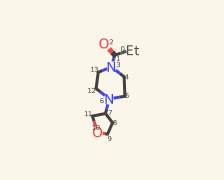 CCC(=O)N1CCN(C2CCOC2)CC1